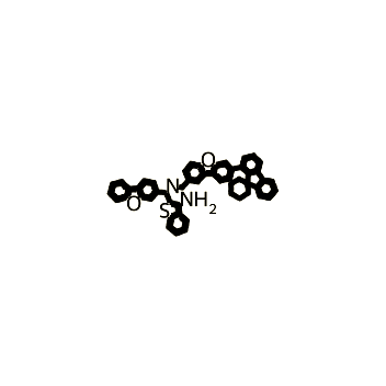 Nc1c(/C(=N\Cc2ccc3oc4cc(-c5cccc6c5C5(CCCCC5)c5ccccc5-6)ccc4c3c2)c2ccc3c(c2)oc2ccccc23)sc2ccccc12